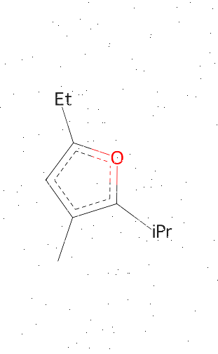 CCc1cc(C)c(C(C)C)o1